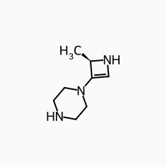 C[C@H]1NC=C1N1CCNCC1